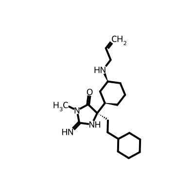 C=CCN[C@H]1CCC[C@@H]([C@@]2(CCC3CCCCC3)NC(=N)N(C)C2=O)C1